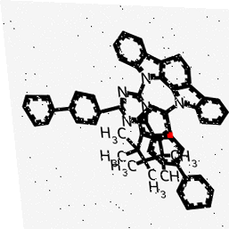 CC1(C)c2ccc(-n3c4ccccc4c4ccc5c6ccccc6n(-c6nc(-c7ccc(-c8ccccc8)cc7)nc(-c7ccc(-c8ccccc8)cc7)n6)c5c43)cc2C(C)(C)C1(C)C